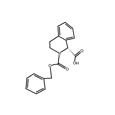 O=C(O)[C@H]1c2ccccc2CCN1C(=O)OCc1ccccc1